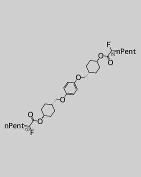 CCCCC[C@H](F)C(=O)O[C@H]1CC[C@H](COc2ccc(OC[C@H]3CC[C@H](OC(=O)[C@@H](F)CCCCC)CC3)cc2)CC1